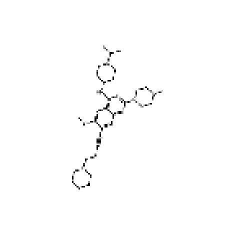 COc1cc2c(NC3CCN(C(C)C)CC3)nc(N3CCN(C)CC3)nc2cc1C#CCCN1CCCCC1